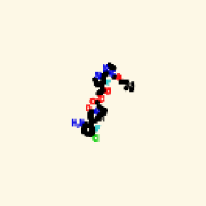 C[Si](C)(C)CCOCn1ccnc1-c1nccc(C(=O)COC(=O)[C@@H]2CC[C@H]3CC(c4c(N)ccc(Cl)c4F)=CC(=O)N32)c1F